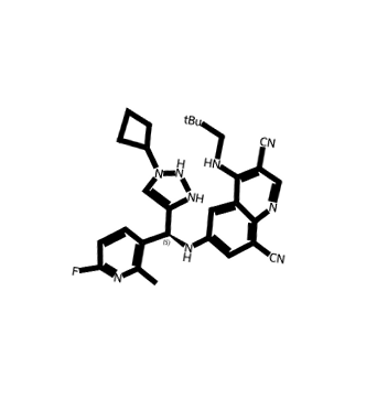 Cc1nc(F)ccc1[C@H](Nc1cc(C#N)c2ncc(C#N)c(NCC(C)(C)C)c2c1)C1=CN(C2CCC2)NN1